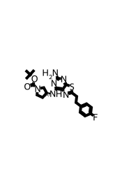 CC(C)(C)OC(=O)N1CC[C@H](Nc2nc(N)nc3sc(CCc4ccc(F)cc4)nc23)C1